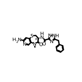 CN1C(=O)[C@@H](NC(=O)c2n[nH]c(Cc3ccccc3)n2)CSc2cc(N)ncc21